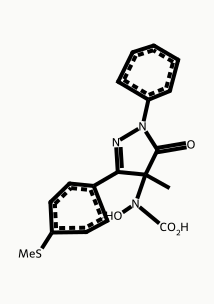 CSc1ccc(C2=NN(c3ccccc3)C(=O)C2(C)N(O)C(=O)O)cc1